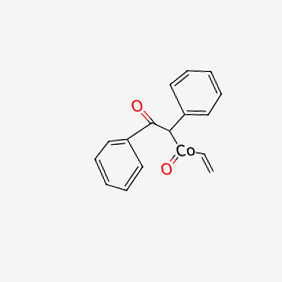 C=[CH][Co](=[O])[CH](C(=O)c1ccccc1)c1ccccc1